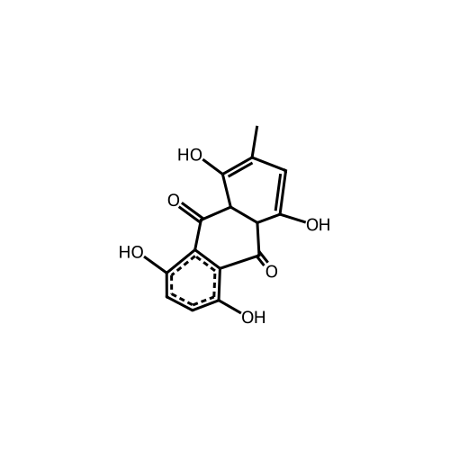 CC1=C(O)C2C(=O)c3c(O)ccc(O)c3C(=O)C2C(O)=C1